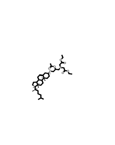 CCOC(=O)CN(CC(=O)OCC)CC(CO[C@H]1CC[C@@]2(C)C(=CCC3C2CC[C@@]2(C)C3CC[C@@H]2[C@H](C)CCCC(C)C)C1)OC(C)=O